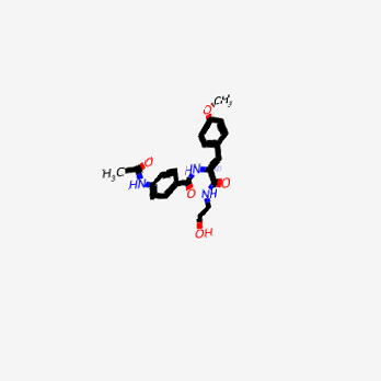 COc1ccc(/C=C(\NC(=O)c2ccc(NC(C)=O)cc2)C(=O)NCCO)cc1